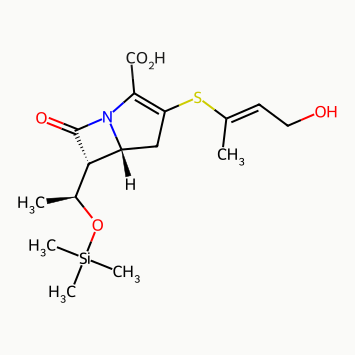 C/C(=C\CO)SC1=C(C(=O)O)N2C(=O)[C@@H]([C@H](C)O[Si](C)(C)C)[C@H]2C1